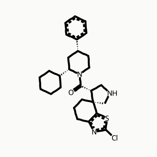 O=C([C@@H]1CNC[C@]12CCCc1nc(Cl)sc12)N1CC[C@@H](c2ccccc2)C[C@H]1C1CCCCC1